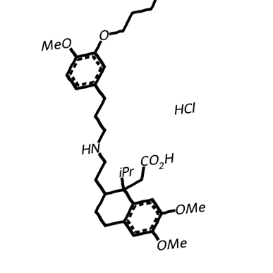 COCCCOc1cc(CCCNCCC2CCc3cc(OC)c(OC)cc3C2(CC(=O)O)C(C)C)ccc1OC.Cl